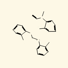 C=CN(C)c1ccccc1C(=O)O.O=C(O)c1ccccc1NCNc1ccccc1C(=O)O